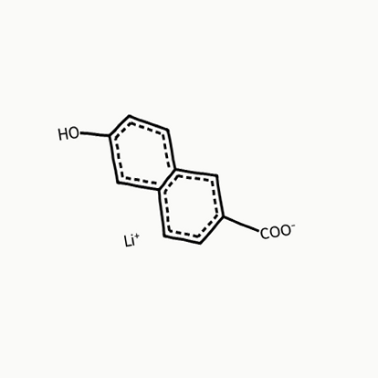 O=C([O-])c1ccc2cc(O)ccc2c1.[Li+]